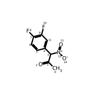 CC(=O)C(c1ccc(F)c(F)c1)[N+](=O)[O-]